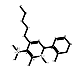 CCCCCC1=CC(C2=C(C)CCC=C2)N(C)C(C)=C1[SiH](C)C